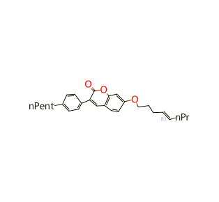 CCC/C=C/CCCOc1ccc2cc(-c3ccc(CCCCC)cc3)c(=O)oc2c1